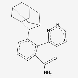 NC(=O)c1cccc(C2C3CC4CC(C3)CC2C4)c1-c1ccnnn1